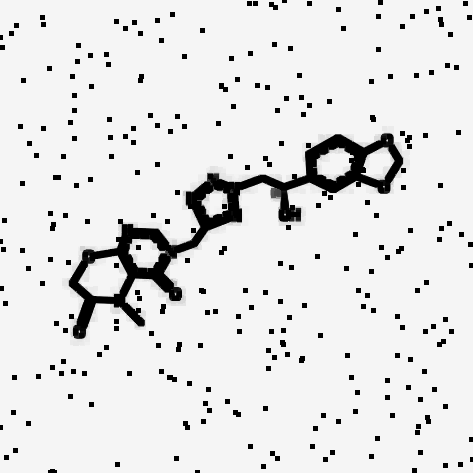 CN1C(=O)COc2ncn(Cc3nnn(C[C@H](O)c4ccc5c(c4)OCO5)n3)c(=O)c21